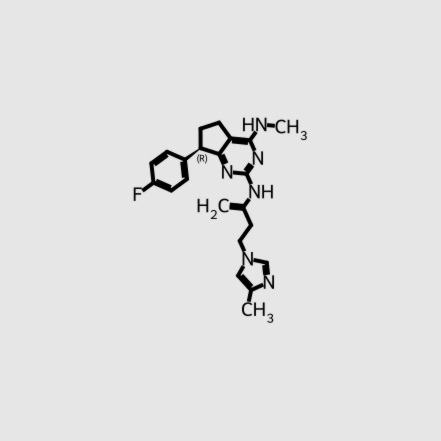 C=C(CCn1cnc(C)c1)Nc1nc(NC)c2c(n1)[C@@H](c1ccc(F)cc1)CC2